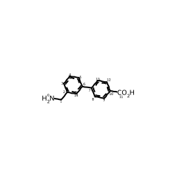 NCc1cccc(-c2ccc(C(=O)O)cc2)c1